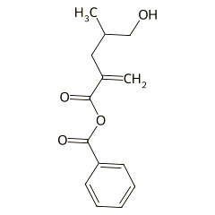 C=C(CC(C)CO)C(=O)OC(=O)c1ccccc1